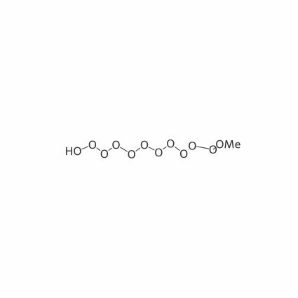 COOOOOOOOOOOO